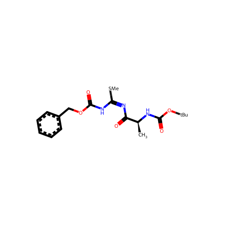 CS/C(=N/C(=O)[C@H](C)NC(=O)OC(C)(C)C)NC(=O)OCc1ccccc1